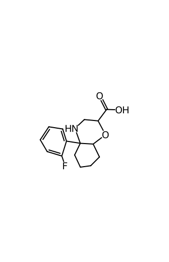 O=C(O)C1CNC2(c3ccccc3F)CCCCC2O1